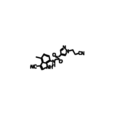 Cc1ccc(NS(=O)(=O)c2cnn(CCC#N)c2)c2[nH]cc(C#N)c12